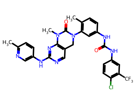 Cc1ccc(Nc2ncc3c(n2)N(C)C(=O)N(c2cc(NC(=O)Nc4ccc(Cl)c(C(F)(F)F)c4)ccc2C)C3)cn1